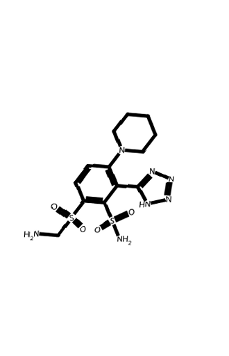 NCS(=O)(=O)c1ccc(N2CCCCC2)c(-c2nnn[nH]2)c1S(N)(=O)=O